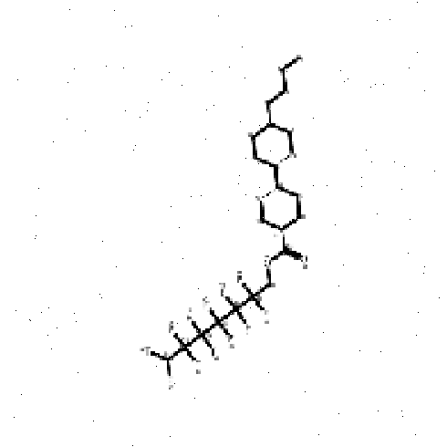 CCCC[C@H]1CC[C@H]([C@H]2CC[C@H](C(=O)OCC(F)(F)C(F)(F)C(F)(F)C(F)(F)C(F)(F)C(F)F)CC2)CC1